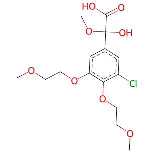 COCCOc1cc(C(O)(OC)C(=O)O)cc(Cl)c1OCCOC